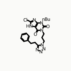 CCCCn1c(=O)n(CCCn2nnnc2CCc2ccccc2)c(=O)c2[nH]c(Cl)nc21